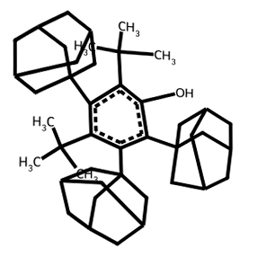 CC(C)(C)c1c(O)c(C23CC4CC(CC(C4)C2)C3)c(C23CC4CC(CC(C4)C2)C3)c(C(C)(C)C)c1C12CC3CC(CC(C3)C1)C2